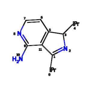 CC(C)C1=NC(C(C)C)c2ccnc(N)c21